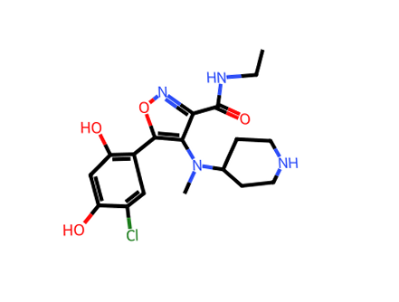 CCNC(=O)c1noc(-c2cc(Cl)c(O)cc2O)c1N(C)C1CCNCC1